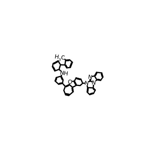 Cc1ccccc1C1C=CC=CC1Nc1cccc(C2=c3oc4c(c3=CC#CC2)CC(n2c3ccccc3n3c5ccccc5nc23)C=C4)c1